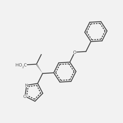 CC(C(=O)O)[C@H](c1cccc(OCc2ccccc2)c1)c1ccon1